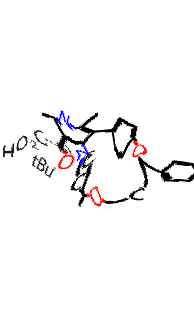 Cc1nc(C)c([C@H](OC(C)(C)C)C(=O)O)c2c1-c1ccc(cc1)OC(c1ccccc1)CCCCOC1(C)CCN2CC1